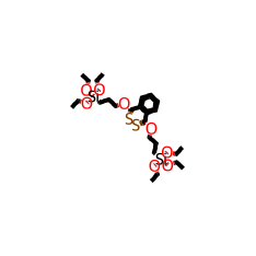 CCO[Si](CCCOC(=S)c1ccccc1C(=S)OCCC[Si](OCC)(OCC)OCC)(OCC)OCC